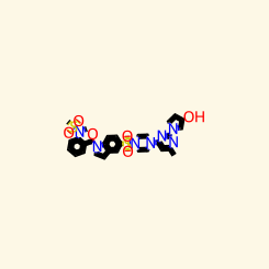 Cc1cc(N2CCN(S(=O)(=O)c3ccc4c(c3)CCN4C(=O)c3ccccc3N(C)S(C)(=O)=O)CC2)nc(N2CC[C@H](O)C2)n1